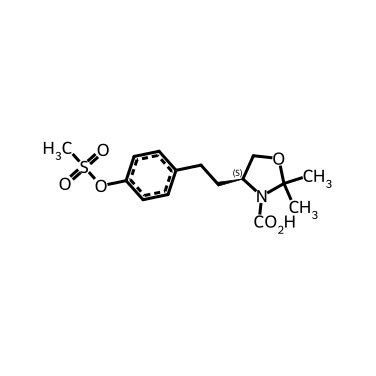 CC1(C)OC[C@H](CCc2ccc(OS(C)(=O)=O)cc2)N1C(=O)O